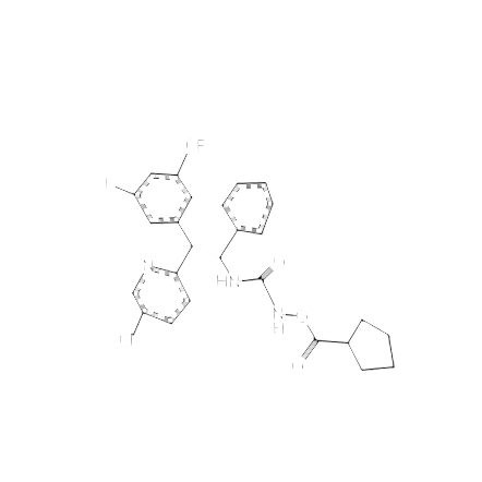 O=C(NOC(=O)C1CCCC1)NC(c1ccccc1)[C@@H](c1cc(F)cc(C(F)(F)F)c1)c1ccc(Cl)cn1